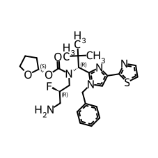 CC(C)(C)[C@H](c1nc(-c2nccs2)cn1Cc1ccccc1)N(C[C@H](F)CN)C(=O)O[C@H]1CCCO1